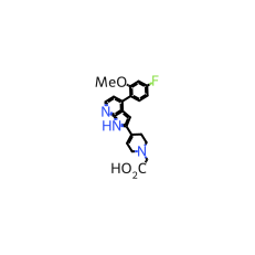 COc1cc(F)ccc1-c1ccnc2[nH]c(C3=CCN(CC(=O)O)CC3)cc12